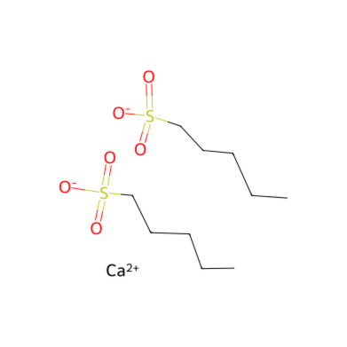 CCCCCS(=O)(=O)[O-].CCCCCS(=O)(=O)[O-].[Ca+2]